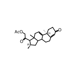 CC(=O)OCC(=O)C1[C@H](C)CC2C3CCC4=CC(=O)CC[C@]4(C)C3=CCC21C